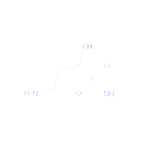 CC(CCN)S(N)(=O)=O